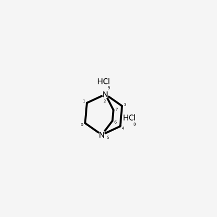 C1CN2CCN1CC2.Cl.Cl